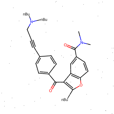 CCCCc1oc2ccc(C(=O)N(C)C)cc2c1C(=O)c1ccc(C#CCN(CCCC)CCCC)cc1